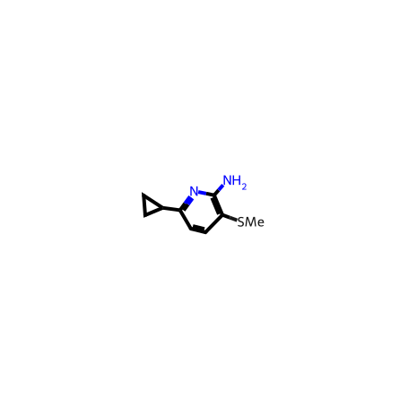 CSc1ccc(C2CC2)nc1N